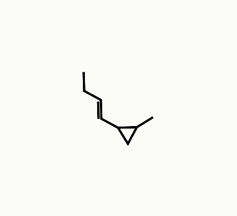 CCC=CC1CC1C